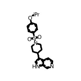 CC(C)Oc1ccc(S(=O)(=O)N2CCC(c3c[nH]c4cnccc34)CC2)cc1